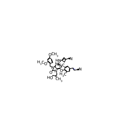 COc1ccc(Cn2c(=O)n(C[C@@H](C)CO)c3c(Oc4c(C)cc(/C=C/C#N)cc4C)nc(NC45CC(C#N)(C4)C5)nc32)c(OC)c1